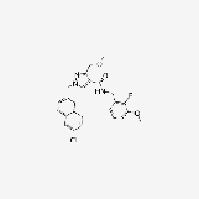 COCc1nn(Cc2ccc3cc(Cl)ccc3c2)cc1C(=O)NCc1cccc(OC)c1F